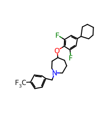 Fc1cc(C2CCCCC2)cc(F)c1OC1CCCN(Cc2ccc(C(F)(F)F)cc2)CC1